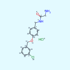 Cl.NCC(=O)NCc1ccc(OCc2cccc(Cl)c2)cc1